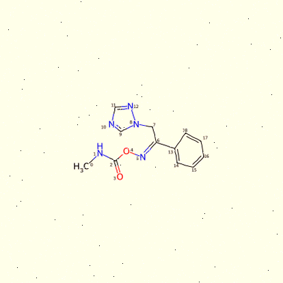 CNC(=O)ON=C(Cn1cncn1)c1ccccc1